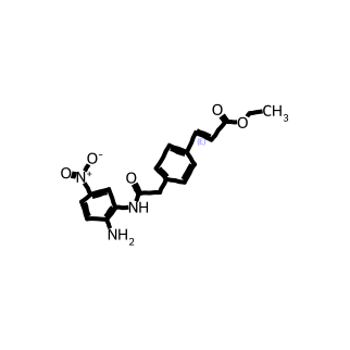 CCOC(=O)/C=C/c1ccc(CC(=O)Nc2cc([N+](=O)[O-])ccc2N)cc1